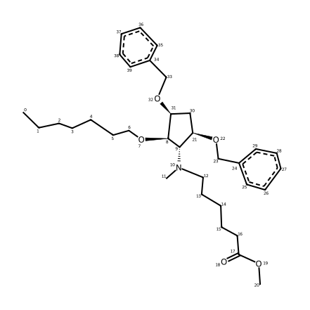 CCCCCCCO[C@@H]1[C@@H](N(C)CCCCCC(=O)OC)[C@H](OCc2ccccc2)C[C@@H]1OCc1ccccc1